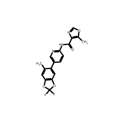 Cc1cc2c(cc1-c1ccc(NC(=O)c3ncoc3C)nc1)OC(F)(F)O2